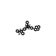 c1ccc(-c2nc(-c3ccc(-c4nc5c6ccccc6sc5c5ccccc45)cc3)nc(-c3ccc(-c4ccc5ccc6cccc7ccc4c5c67)cc3)n2)cc1